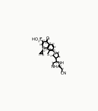 CC(=O)NCC(NCCC#N)C1CCN(c2ccc3c(=O)c(C(=O)O)cn(C4CC4)c3c2C)C1